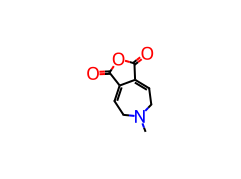 CN1CC=C2C(=O)OC(=O)C2=CC1